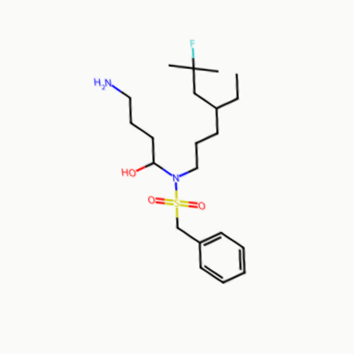 CCC(CCCN(C(O)CCCN)S(=O)(=O)Cc1ccccc1)CC(C)(C)F